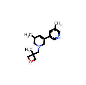 Cc1cncc(C2=CC(C)CN(CC3(C)COC3)C2)c1